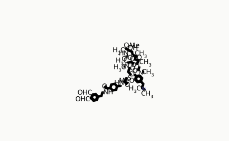 C/C=C(\C)Cc1cc(OC)c(Cl)c(N(C)C(=O)C[C@H](OC(=O)[C@H](C)N(C)C(=O)CCSCC(=O)NCC2CCC(C(=O)NCCc3ccc(C=O)c(C=O)c3)CC2)C2(C)CC(C)(C3CC(O)(C(C)OC)NC(=O)O3)O2)c1